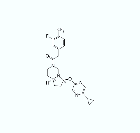 O=C(Cc1ccc(C(F)(F)F)c(F)c1)N1CC[C@@H]2CC[C@H](Oc3cnc(C4CC4)cn3)N2C1